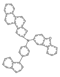 c1ccc2c(-c3ccc(N(c4ccc5c(ccc6c7ccccc7ccc56)c4)c4ccc5oc6ccccc6c5c4)cc3)cccc2c1